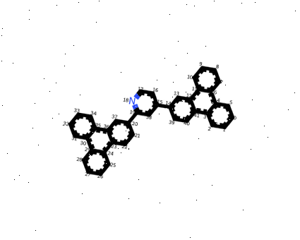 c1ccc2c(c1)c1ccccc1c1cc(-c3ccnc(-c4ccc5c6ccccc6c6ccccc6c5c4)c3)ccc21